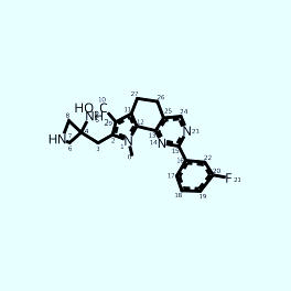 Cn1c(CC2(N)CNC2)c(C(=O)O)c2c1-c1nc(-c3cccc(F)c3)ncc1CC2